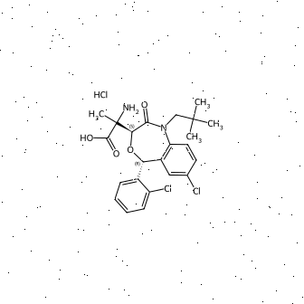 CC(C)(C)CN1C(=O)[C@H](C(C)(N)C(=O)O)O[C@@H](c2ccccc2Cl)c2cc(Cl)ccc21.Cl